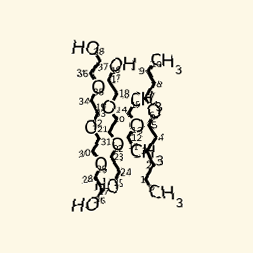 CCCCCCOCCCC.CCOCC.OCCOCCOCCO.OCCOCCOCCOCCO